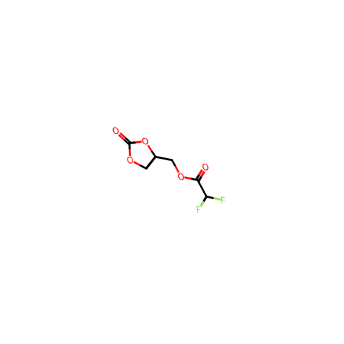 O=C1OCC(COC(=O)C(F)F)O1